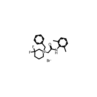 Cc1cccc(C)c1NC(=O)C[N@@+]1(Cc2ccccc2)CCCC(F)(F)C1.[Br-]